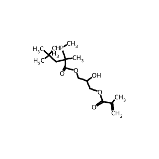 C=C(C)C(=O)OCC(O)COC(=O)C(C)(CC(C)(C)C)PC